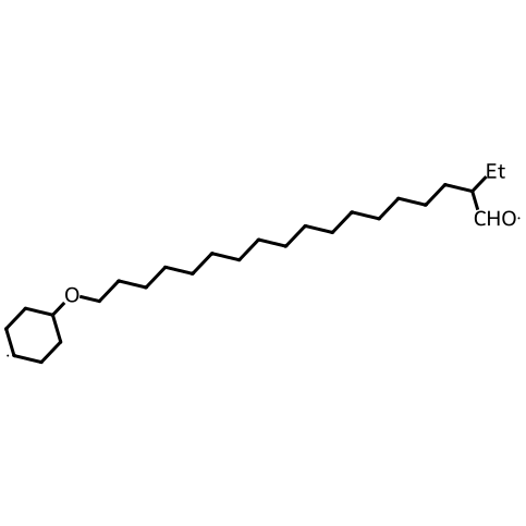 CCC([C]=O)CCCCCCCCCCCCCCCCOC1CC[CH]CC1